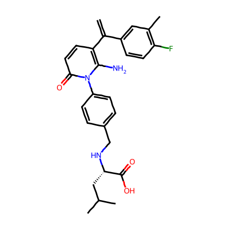 C=C(c1ccc(F)c(C)c1)c1ccc(=O)n(-c2ccc(CN[C@@H](CC(C)C)C(=O)O)cc2)c1N